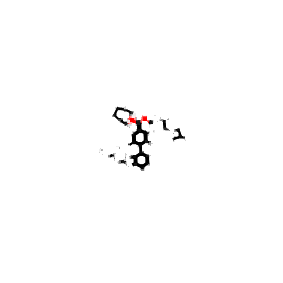 C[C@@H](CN1CC(F)C1)Oc1nc(N2CC3CCC(C2)N3C(=O)OC(C)(C)C)c2cc(Cl)c(-c3ccc(F)c4sc(NC(=O)OC(C)(C)C)nc34)c(F)c2n1